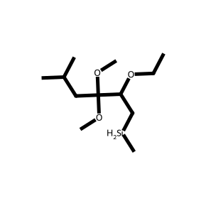 CCOC(C[SiH2]C)C(CC(C)C)(OC)OC